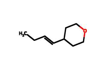 CC/C=C/C1CCOCC1